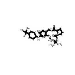 COc1nc(NC2CCC(C(F)(F)F)CC2)c(F)cc1CNC(=O)C1CCCN1C(=O)OC(C)(C)C